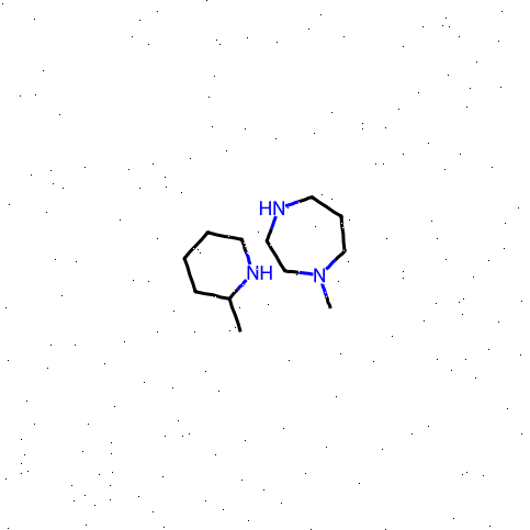 CC1CCCCN1.CN1CCCNCC1